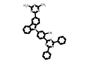 Cc1nc(C)nc(-c2ccc3c(c2)c2ccccc2n3-c2ccc(-c3nc(-c4ccccc4)nc(-c4ccccc4)n3)c(C#N)c2)n1